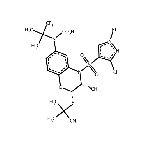 CCn1cc(S(=O)(=O)N2c3cc(N(C(=O)O)C(C)(C)C(F)(F)F)ccc3O[C@@H](CC(C)(C)C#N)[C@H]2C)c(Cl)n1